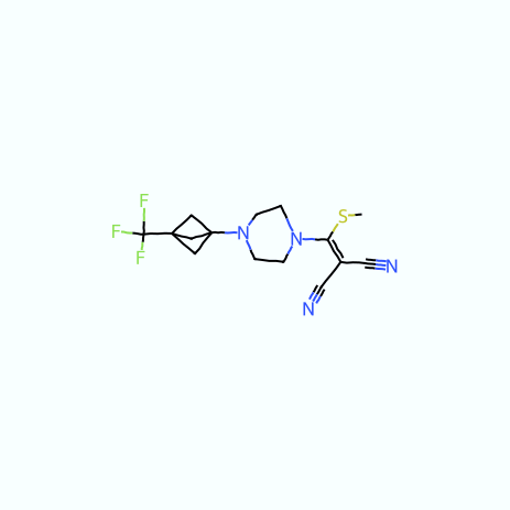 CSC(=C(C#N)C#N)N1CCN(C23CC(C(F)(F)F)(C2)C3)CC1